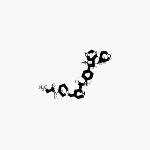 C=CC(=O)N[C@@H]1CCCN(Cc2ccnc(C(=O)Nc3ccc(-c4cc5c([C@]67CCOC[C@H]6[C@H]7C)ncnc5[nH]4)cc3)c2)C1